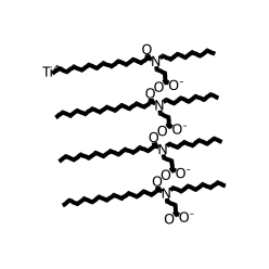 CCCCCCCCCCCCCC(=O)N(CCCCCCCC)CCC(=O)[O-].CCCCCCCCCCCCCC(=O)N(CCCCCCCC)CCC(=O)[O-].CCCCCCCCCCCCCC(=O)N(CCCCCCCC)CCC(=O)[O-].CCCCCCCCCCCCCC(=O)N(CCCCCCCC)CCC(=O)[O-].[Ti+4]